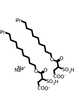 CC(C)CCCCCCCCCOC(=O)C(CC(=O)[O-])S(=O)(=O)O.CC(C)CCCCCCCCCOC(=O)C(CC(=O)[O-])S(=O)(=O)O.[Na+].[Na+]